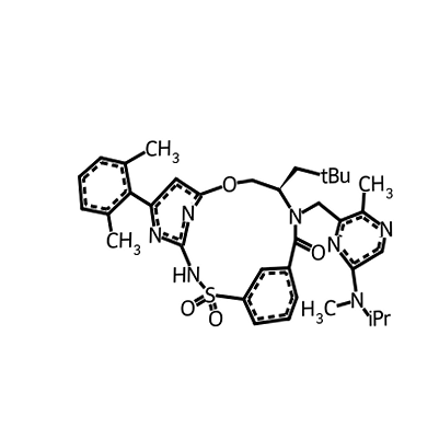 Cc1cccc(C)c1-c1cc2nc(n1)NS(=O)(=O)c1cccc(c1)C(=O)N(Cc1nc(N(C)C(C)C)cnc1C)[C@H](CC(C)(C)C)CO2